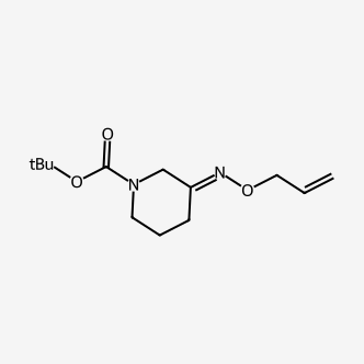 C=CCON=C1CCCN(C(=O)OC(C)(C)C)C1